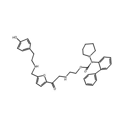 O=C(CNCCOC(=O)N(c1ccccc1-c1ccccc1)N1CC[CH]CC1)c1ccc(CNCCc2ccc(O)cc2)o1